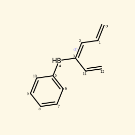 C=C/C=C(/Bc1ccccc1)C=C